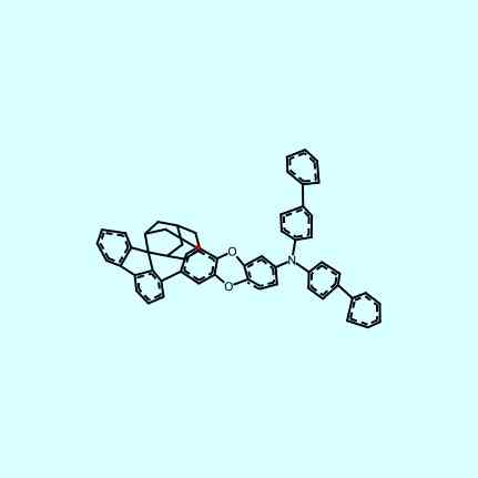 c1ccc(-c2ccc(N(c3ccc(-c4ccccc4)cc3)c3ccc4c(c3)Oc3ccc(-c5cccc6c5C5(c7ccccc7-6)C6CC7CC(C6)CC5C7)cc3O4)cc2)cc1